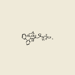 O=C(CC(=O)N[C@@H]1C(=O)N(CC2CC2)c2ccccc2-c2ccccc21)NCC(F)(F)C(F)(F)F